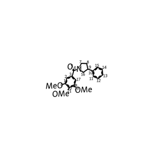 COc1cc(C(=O)N2CCC(c3ccccc3)C2)cc(OC)c1OC